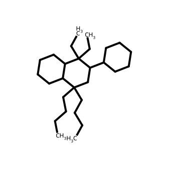 CCCCC1(CCCC)CC(C2CCCCC2)C(CC)(CC)C2CCCCC21